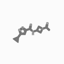 CC(=O)N1CC(NC(=O)c2cc(C3CC3)on2)C1